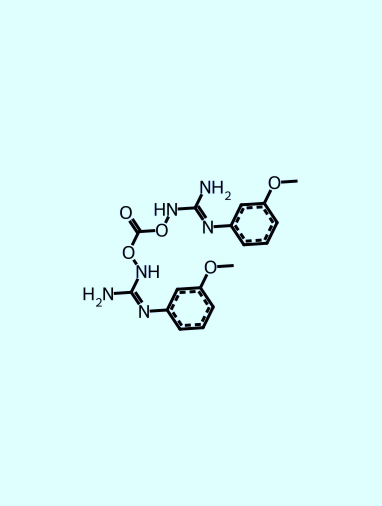 COc1cccc(N=C(N)NOC(=O)ONC(N)=Nc2cccc(OC)c2)c1